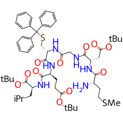 CSCC[C@H](N)C(=O)N[C@@H](CC(=O)OC(C)(C)C)C(=O)NCC(=O)N[C@@H](CSC(c1ccccc1)(c1ccccc1)c1ccccc1)C(=O)N[C@@H](CCC(=O)OC(C)(C)C)C(=O)N[C@@H](CC(C)C)C(=O)OC(C)(C)C